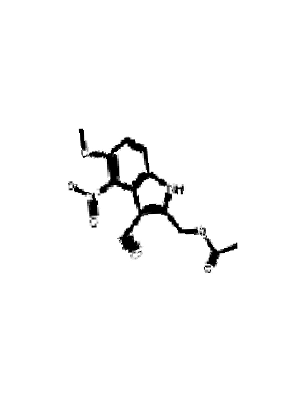 COc1ccc2[nH]c(COC(C)=O)c(C=O)c2c1[N+](=O)[O-]